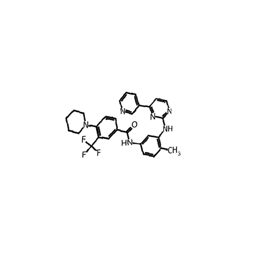 Cc1ccc(NC(=O)c2ccc(N3CCCCC3)c(C(F)(F)F)c2)cc1Nc1nccc(-c2cccnc2)n1